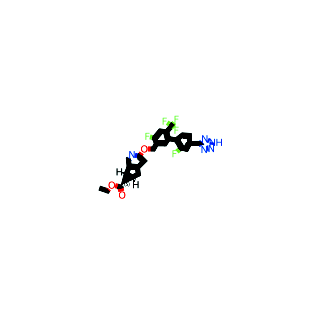 CCOC(=O)[C@H]1[C@@H]2Cc3cc(OCc4cc(-c5ccc(-c6nn[nH]n6)cc5F)c(C(F)(F)F)cc4F)ncc3[C@@H]21